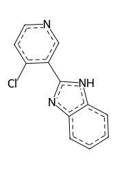 Clc1ccncc1-c1nc2ccccc2[nH]1